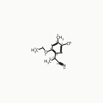 CCOc1cc(C)c(Cl)cc1C(C)C#N